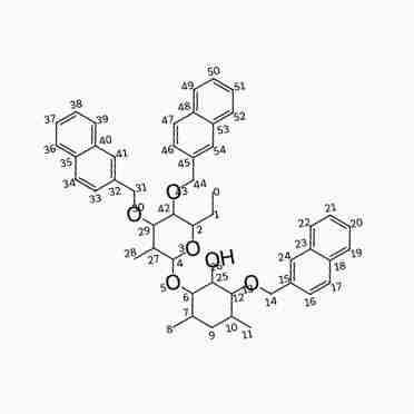 CCC1OC(OC2C(C)CC(C)C(OCc3ccc4ccccc4c3)C2O)C(C)C(OCc2ccc3ccccc3c2)C1OCc1ccc2ccccc2c1